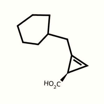 O=C(O)[C@@H]1C=C1CC1CCCCC1